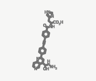 NNC(O)c1cc(-c2ccc(C#Cc3ccc(C(=O)NC(Cc4c[nH]cn4)C(=O)O)cc3)cc2)nc2ccncc12